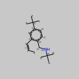 C/C=C\c1cc(C(C)(C)C)ccc1CNC(C)(C)C